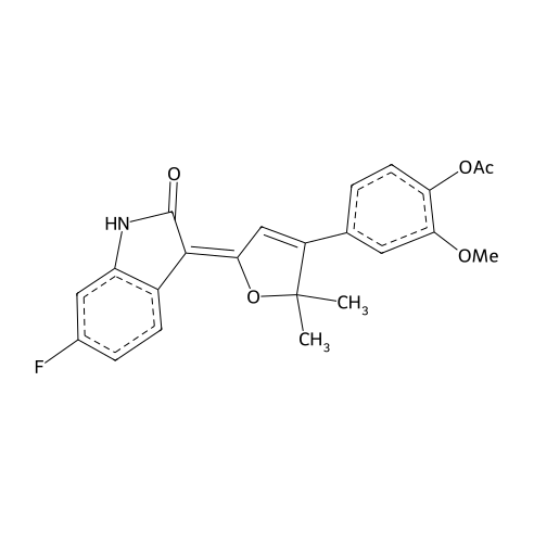 COc1cc(C2=C/C(=C3\C(=O)Nc4cc(F)ccc43)OC2(C)C)ccc1OC(C)=O